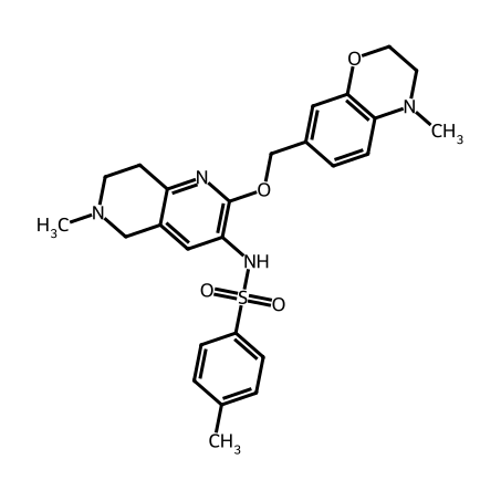 Cc1ccc(S(=O)(=O)Nc2cc3c(nc2OCc2ccc4c(c2)OCCN4C)CCN(C)C3)cc1